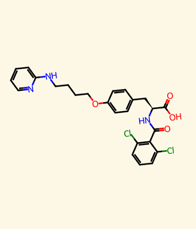 O=C(N[C@@H](Cc1ccc(OCCCCNc2ccccn2)cc1)C(=O)O)c1c(Cl)cccc1Cl